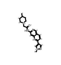 CC1CCN(CC(=O)Nc2cc3nc(-c4cnn(C)c4)ccc3cn2)CC1